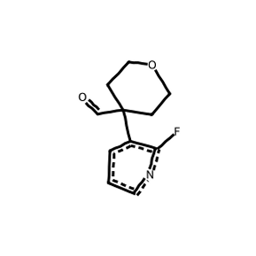 O=CC1(c2cccnc2F)CCOCC1